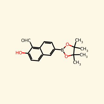 CC1(C)OB(c2ccc3c([12CH]=O)c(O)ccc3c2)OC1(C)C